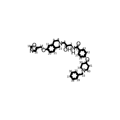 O=C(NCC(O)CN1CCc2cc(OCc3cnco3)ccc2C1)c1ccc(OC2CCN(Cc3ccccc3)CC2)cc1